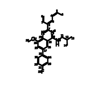 C=C/C(=C\C=C/C)c1nc(NCC(C)C)c2cc(-c3ccc(F)cc3)cc(OC)c2n1